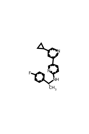 C[C@@H](Nc1ccc(-c2cncc(C3CC3)c2)cn1)c1ccc(F)cc1